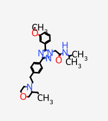 CCC1COCCN1CCc1ccc(-c2nc(-c3cccc(OC)c3)n(CC(=O)NC(C)C)n2)cc1